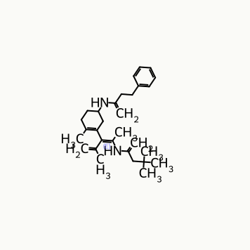 C=C(CC(C)(C)C)N/C(C)=C(\C(=C)C)C1=C(C)CCC(NC(=C)CCc2ccccc2)C1